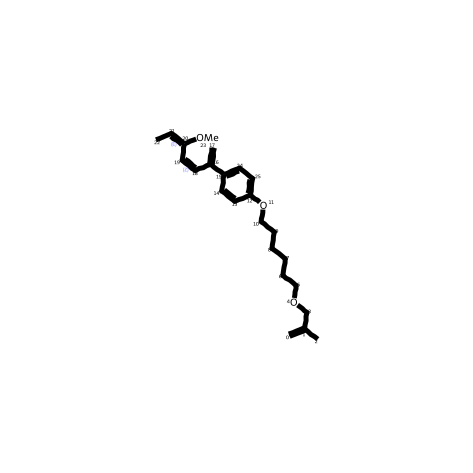 C=C(C)COCCCCCCOc1ccc(C(=C)/C=C\C(=C/C)OC)cc1